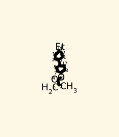 C=C(C)C(=O)Oc1ccc(-c2ccc(CC)cc2)cc1